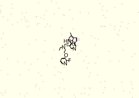 CCN(CCNC(=O)C1=C(/C)CCc2c(C)cncc2/C=C\1)CCOc1cccnc1F